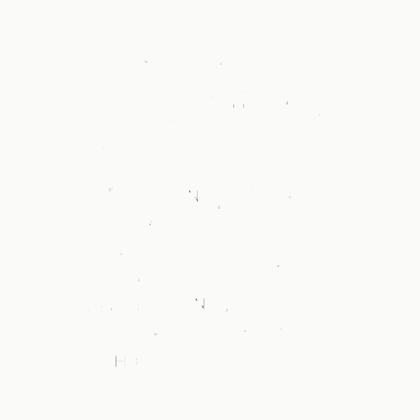 Cc1cn(-c2ccccc2)c2cc(N3c4ccccc4-c4ccccc4Oc4ccccc4-c4ccccc43)ccc2c1=O